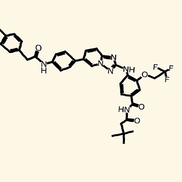 CC(C)(C)CC(=O)NC(=O)c1ccc(Nc2nc3ccc(-c4ccc(NC(=O)Cc5ccc(F)cc5)cc4)cn3n2)c(OCC(F)(F)F)c1